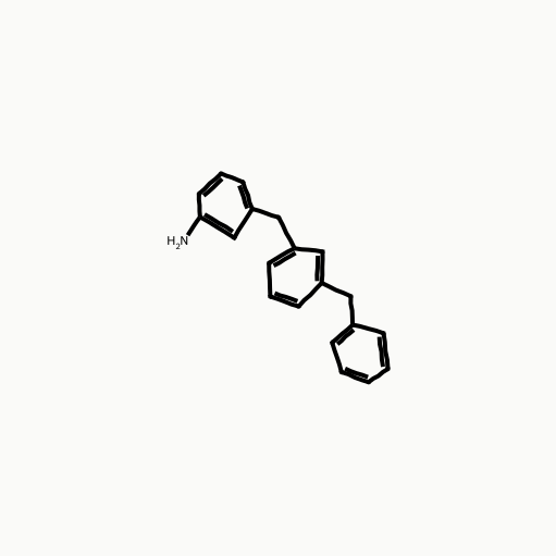 Nc1cccc(Cc2cccc(Cc3ccccc3)c2)c1